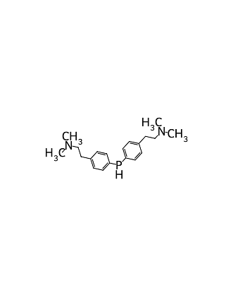 CN(C)CCc1ccc(Pc2ccc(CCN(C)C)cc2)cc1